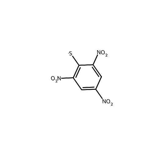 O=[N+]([O-])c1cc([N+](=O)[O-])c([S])c([N+](=O)[O-])c1